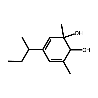 CCC(C)C1=CC(C)(O)C(O)C(C)=C1